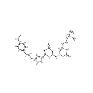 C=C1C[C@H](C[C@@H]2CC(=O)C[C@H](c3coc(COCc4ccc(OC)cc4)n3)O2)O[C@@H](CCOB(P)S)C1